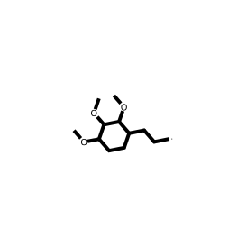 [CH2]CCC1CCC(OC)C(OC)C1OC